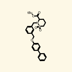 CC(C)(C)OC(=O)C1CCCS(=O)(=O)N1Cc1cccc(COc2ccc(-c3ccccc3)cc2)c1